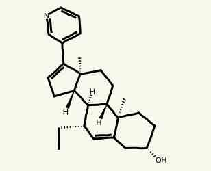 CC[C@H]1C=C2C[C@@H](O)CC[C@]2(C)[C@H]2CC[C@]3(C)C(c4cccnc4)=CC[C@H]3[C@H]12